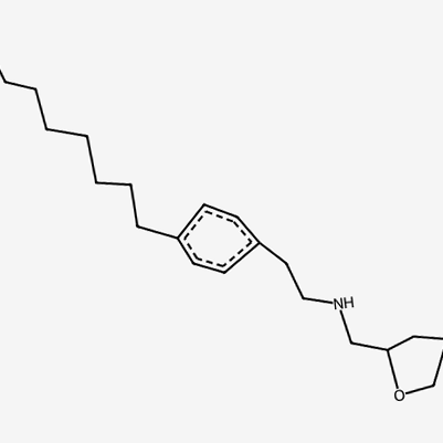 CCCCCCCCc1ccc(CCNCC2CCCO2)cc1